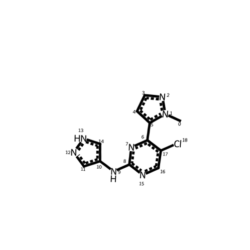 Cn1nccc1-c1nc(Nc2cn[nH]c2)ncc1Cl